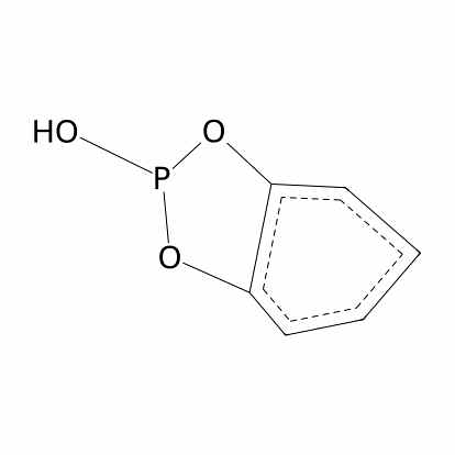 OP1Oc2ccccc2O1